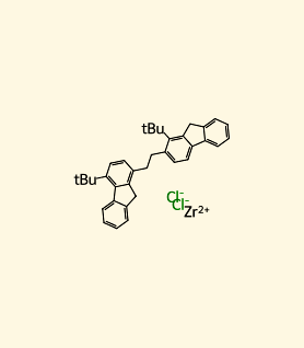 CC(C)(C)c1ccc(CCc2ccc3c(c2C(C)(C)C)Cc2ccccc2-3)c2c1-c1ccccc1C2.[Cl-].[Cl-].[Zr+2]